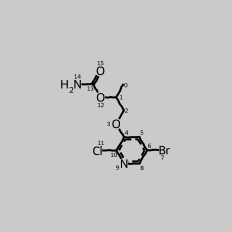 CC(COc1cc(Br)cnc1Cl)OC(N)=O